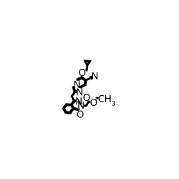 CCOC(=O)Cn1nc(Cc2cn3cc(OCC4CC4)c(C#N)cc3n2)c2ccccc2c1=O